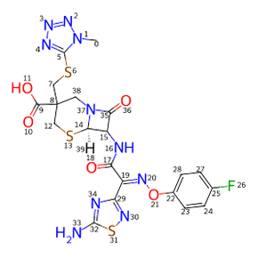 Cn1nnnc1SCC1(C(=O)O)CS[C@@H]2C(NC(=O)C(=NOc3ccc(F)cc3)c3nsc(N)n3)C(=O)N2C1